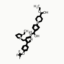 CCOC(O)C1CCN(c2ccc(C(O)Nc3cc(CN4CCC[C@H]4CC)c(-c4ccc(OC(F)(F)F)cc4)cn3)cc2)CC1